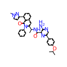 CC(C)Oc1ccc(-c2cnc(N)c(C(=O)NC(C)c3cc4cccc(-c5ccn(C)n5)c4c(=O)n3-c3ccccc3)n2)cc1